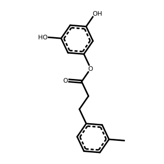 Cc1cccc(CCC(=O)Oc2cc(O)cc(O)c2)c1